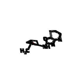 CN1CC2(Nc3nc4ncccc4o3)CCC1CC2